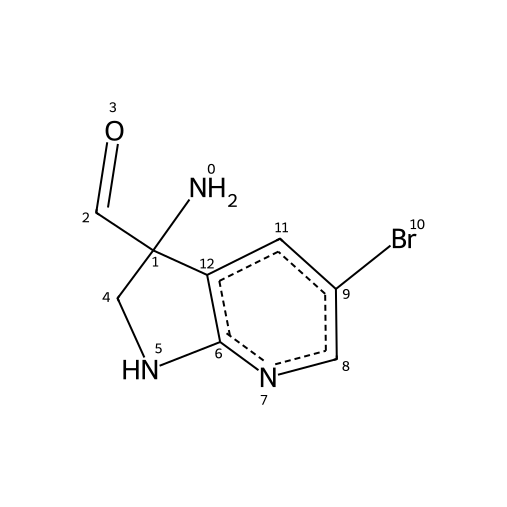 NC1(C=O)CNc2ncc(Br)cc21